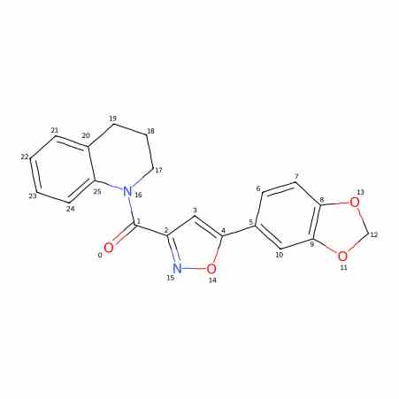 O=C(c1cc(-c2ccc3c(c2)OCO3)on1)N1CCCc2ccccc21